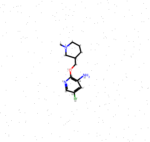 CN1CCCC(COc2ncc(Br)cc2N)C1